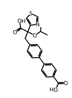 CC(C)OC(Cc1ccc(-c2ccc(C(=O)O)cc2)cc1)(C(=O)O)c1cscn1